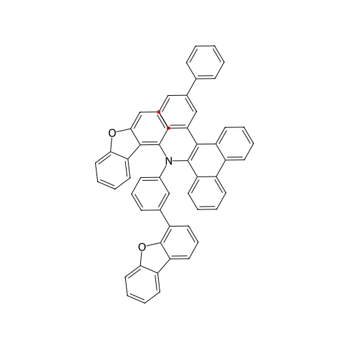 c1ccc(-c2cccc(-c3c(N(c4cccc(-c5cccc6c5oc5ccccc56)c4)c4cccc5oc6ccccc6c45)c4ccccc4c4ccccc34)c2)cc1